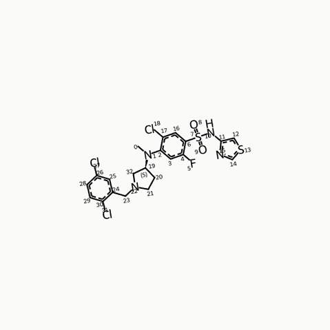 CN(c1cc(F)c(S(=O)(=O)Nc2cscn2)cc1Cl)[C@H]1CCN(Cc2cc(Cl)ccc2Cl)C1